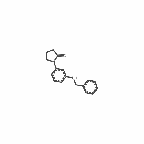 O=C1CCCN1c1cccc(NCc2ccccc2)c1